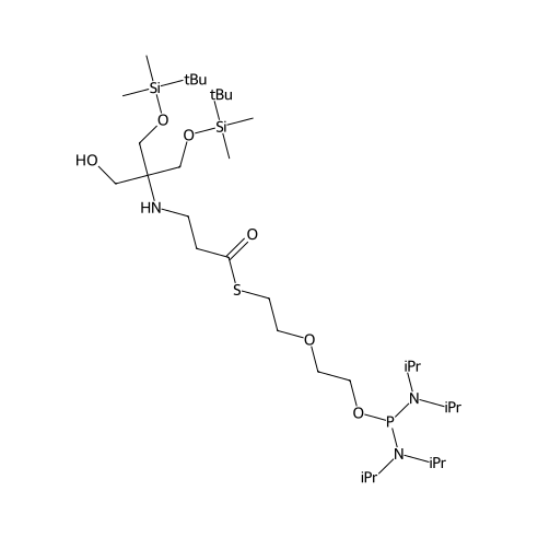 CC(C)N(C(C)C)P(OCCOCCSC(=O)CCNC(CO)(CO[Si](C)(C)C(C)(C)C)CO[Si](C)(C)C(C)(C)C)N(C(C)C)C(C)C